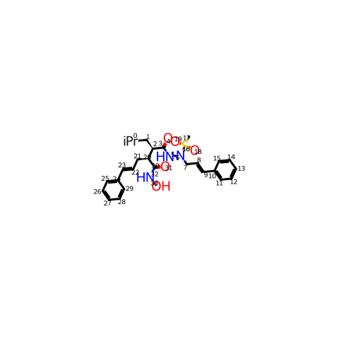 CC(C)C[C@@H](C(=O)NN(CC=Cc1ccccc1)S(C)(=O)=O)[C@H](CC=Cc1ccccc1)C(=O)NO